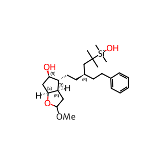 COC1C[C@@H]2[C@@H](CC[C@H](CCc3ccccc3)CC(C)(C)[Si](C)(C)O)[C@H](O)C[C@@H]2O1